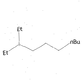 CCCCCCC[C](CC)CC